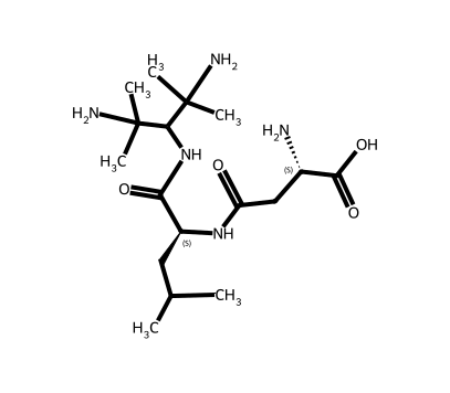 CC(C)C[C@H](NC(=O)C[C@H](N)C(=O)O)C(=O)NC(C(C)(C)N)C(C)(C)N